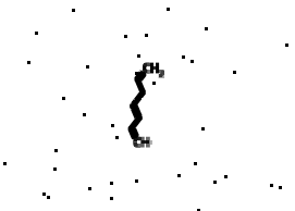 [CH]=CC=CCC=C